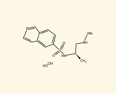 CCCCNC[C@@H](C)NS(=O)(=O)c1ccc2cnccc2c1.Cl.Cl